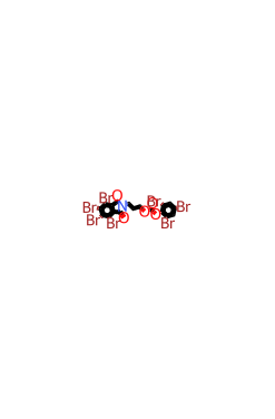 O=C(OCCCN1C(=O)c2c(Br)c(Br)c(Br)c(Br)c2C1=O)Oc1c(Br)cc(Br)cc1Br